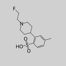 Cc1ccc(S(=O)(=O)O)c(C2CCN(CCF)CC2)c1